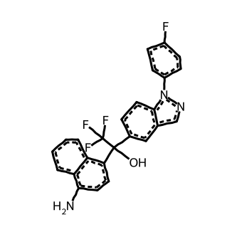 Nc1ccc(C(O)(c2ccc3c(cnn3-c3ccc(F)cc3)c2)C(F)(F)F)c2ccccc12